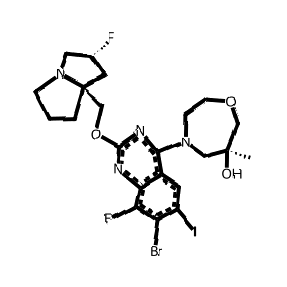 C[C@@]1(O)COCCN(c2nc(OC[C@@]34CCCN3C[C@H](F)C4)nc3c(F)c(Br)c(I)cc23)C1